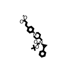 COC(=O)/C=C/c1ccc(N2CCC(CN(C(=O)OC(C)(C)C)C3CC3c3ccccc3)CC2)cc1